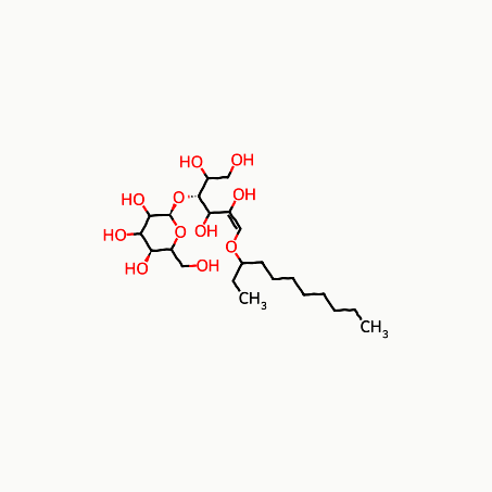 CCCCCCCCC(CC)O/C=C(/O)C(O)[C@H](O[C@H]1OC(CO)[C@@H](O)C(O)C1O)C(O)CO